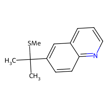 CSC(C)(C)c1ccc2ncccc2c1